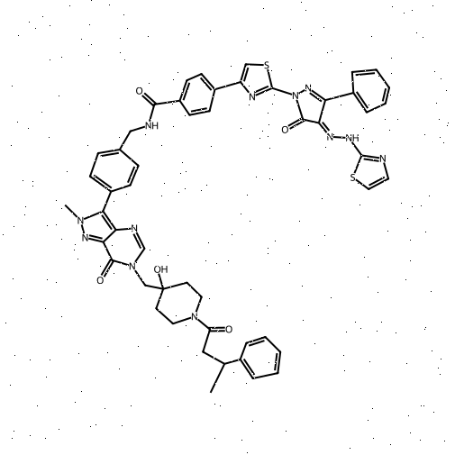 CC(CC(=O)N1CCC(O)(Cn2cnc3c(-c4ccc(CNC(=O)c5ccc(-c6csc(N7N=C(c8ccccc8)/C(=N\Nc8nccs8)C7=O)n6)cc5)cc4)n(C)nc3c2=O)CC1)c1ccccc1